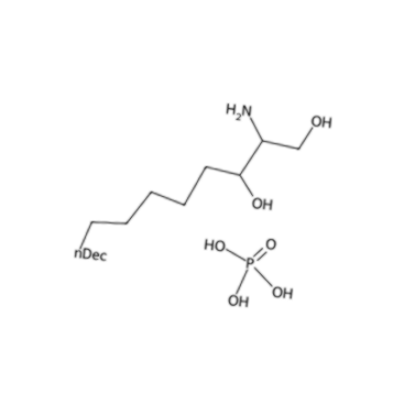 CCCCCCCCCCCCCCCC(O)C(N)CO.O=P(O)(O)O